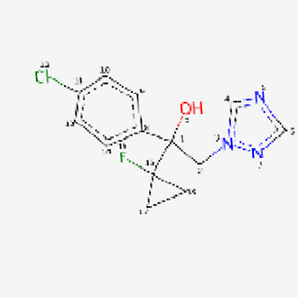 OC(Cn1cncn1)(c1ccc(Cl)cc1)C1(F)CC1